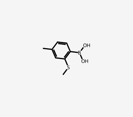 CSc1cc(C)ccc1B(O)O